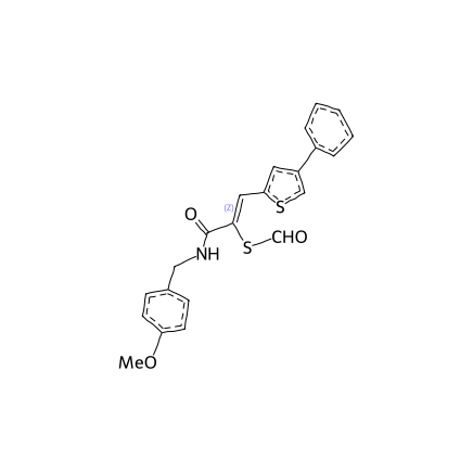 COc1ccc(CNC(=O)/C(=C/c2cc(-c3ccccc3)cs2)SC=O)cc1